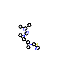 c1ccc(-c2cc(-c3ccccc3)nc(-c3cc(-n4c5ccccc5c5ccc(-c6ccc7c(c6)c6ccccc6n7-c6ccc7sc8cccnc8c7c6)cc54)ccn3)c2)cc1